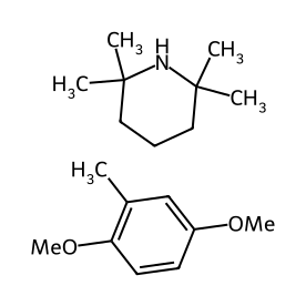 CC1(C)CCCC(C)(C)N1.COc1ccc(OC)c(C)c1